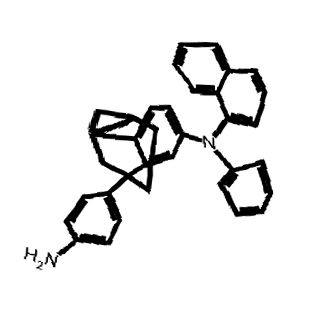 Nc1ccc(C23CC2CC2CC2(c2ccc(N(c4ccccc4)c4cccc5ccccc45)cc2)C3)cc1